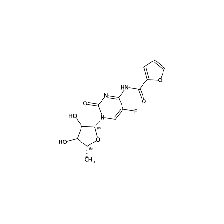 C[C@H]1O[C@@H](n2cc(F)c(NC(=O)c3ccco3)nc2=O)C(O)C1O